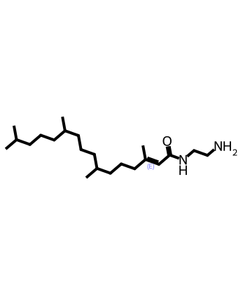 C/C(=C\C(=O)NCCN)CCCC(C)CCCC(C)CCCC(C)C